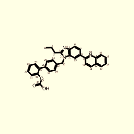 CCCc1nc2ccc(-c3ccc4ccccc4n3)cc2n1Cc1ccc(-c2ccccc2OC(=O)O)cc1